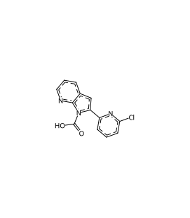 O=C(O)n1c(-c2cccc(Cl)n2)cc2cccnc21